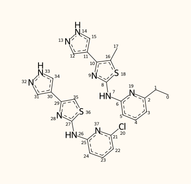 CCc1cccc(Nc2nc(-c3cn[nH]c3)c(C)s2)n1.Clc1cccc(Nc2nc(-c3cn[nH]c3)cs2)n1